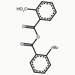 CCCCc1ccccc1C(=O)OC(=O)c1ccccc1C(=O)O